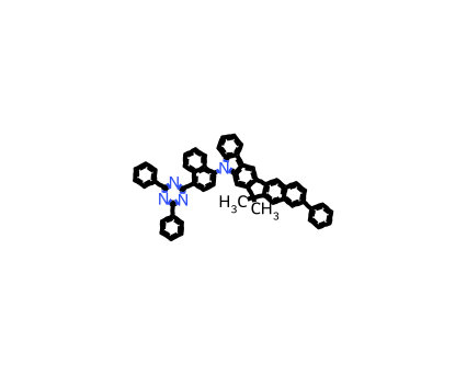 CC1(C)c2cc3cc(-c4ccccc4)ccc3cc2-c2cc3c4ccccc4n(-c4ccc(-c5nc(-c6ccccc6)nc(-c6ccccc6)n5)c5ccccc45)c3cc21